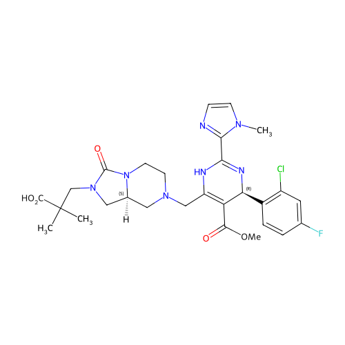 COC(=O)C1=C(CN2CCN3C(=O)N(CC(C)(C)C(=O)O)C[C@@H]3C2)NC(c2nccn2C)=N[C@H]1c1ccc(F)cc1Cl